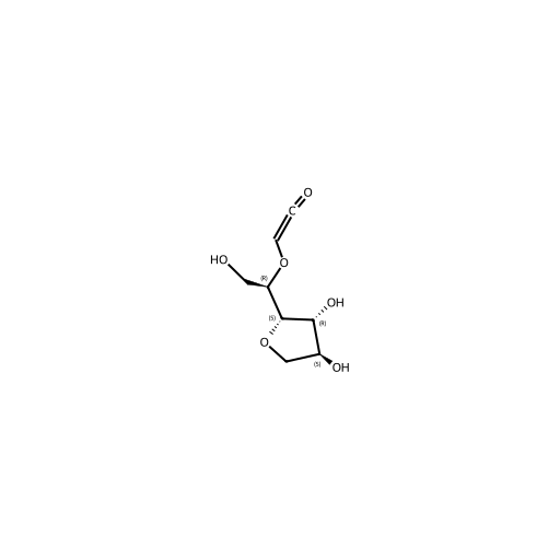 O=C=CO[C@H](CO)[C@H]1OC[C@H](O)[C@H]1O